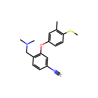 [C-]#[N+]c1ccc(CN(C)C)c(Oc2ccc(SC)c(C)c2)c1